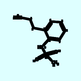 CNCCc1ccccc1NS(C)(=O)=O